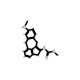 COC(=O)OC1=C2Cc3ccc(OC)cc3Cc3cccc(c32)C1